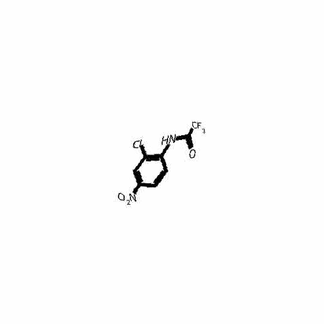 O=C(Nc1ccc([N+](=O)[O-])cc1Cl)C(F)(F)F